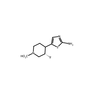 Nc1ncc(C2CCN(C(=O)O)C[C@H]2F)s1